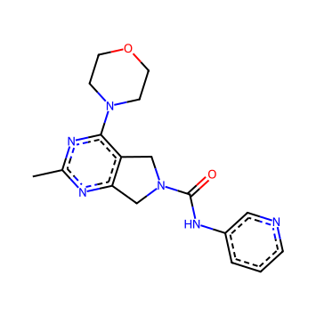 Cc1nc2c(c(N3CCOCC3)n1)CN(C(=O)Nc1cccnc1)C2